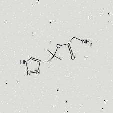 CC(C)(C)OC(=O)CN.c1c[nH]nn1